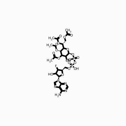 CC(=O)OC[C@@H](OC(C)=O)C1O[C@@H](OP(=O)(O)OP(=O)(O)OC[C@H]2O[C@@H](n3cnc4c(N)ncnc43)C(O)C2F)C(O)C(OC(C)=O)[C@@H]1OC(C)=O